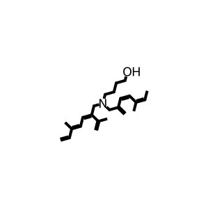 C=C/C(C)=C/C=C(/CN(CCCCO)CC(=C)/C=C\C(C)=C/C)C(=C)C